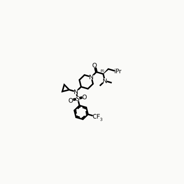 CC(C)C[C@H](C(=O)N1CCC(N(C2CC2)S(=O)(=O)c2cccc(C(F)(F)F)c2)CC1)N(C)C